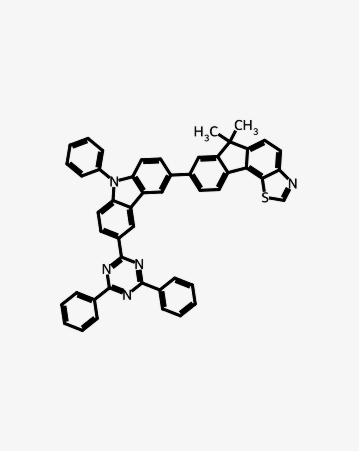 CC1(C)c2cc(-c3ccc4c(c3)c3cc(-c5nc(-c6ccccc6)nc(-c6ccccc6)n5)ccc3n4-c3ccccc3)ccc2-c2c1ccc1ncsc21